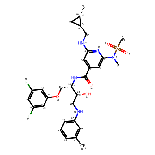 CC(C)S(=O)(=O)N(C)c1cc(C(=O)N[C@@H](COc2cc(F)cc(F)c2)[C@H](O)CNc2cccc(C(F)(F)F)c2)cc(NC[C@H]2C[C@@H]2C)n1